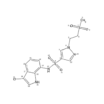 CS(=O)(=O)CCn1cc(S(=O)(=O)Nc2cccc3c(Cl)c[nH]c23)cn1